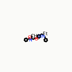 CC[C@H](Cc1ccc(OCCc2nc(-c3ccccc3)oc2C)cc1)NCc1ccccc1